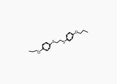 CCCOc1ccc(SCCSc2ccc(OCCC)cc2)cc1